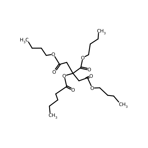 CCCCOC(=O)CC(CC(=O)OCCCC)(OC(=O)CCCC)C(=O)OCCCC